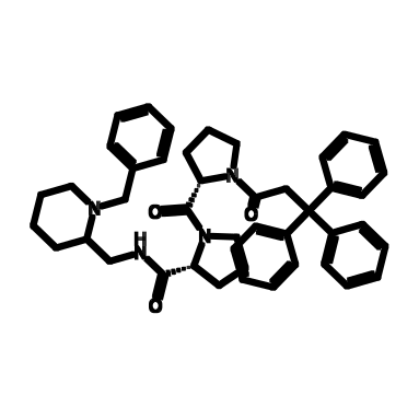 O=C(NCC1CCCCN1Cc1ccccc1)[C@H]1CCCN1C(=O)[C@@H]1CCCN1C(=O)CC(c1ccccc1)(c1ccccc1)c1ccccc1